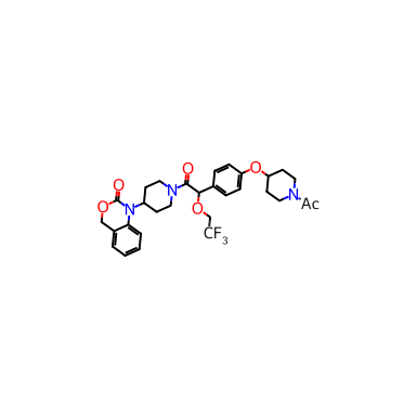 CC(=O)N1CCC(Oc2ccc(C(OCC(F)(F)F)C(=O)N3CCC(N4C(=O)OCc5ccccc54)CC3)cc2)CC1